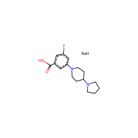 O=C(O)c1cc(F)cc(N2CCC(N3CCCC3)CC2)c1.[NaH]